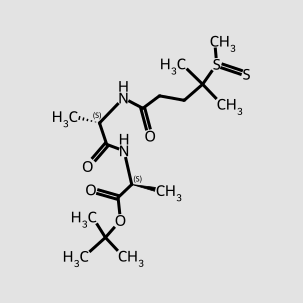 C[C@H](NC(=O)CCC(C)(C)S(C)=S)C(=O)N[C@@H](C)C(=O)OC(C)(C)C